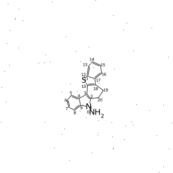 Nn1c2c(c3ccccc31)-c1sc3ccccc3c1CC2